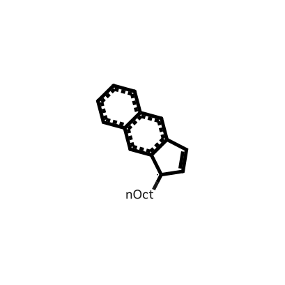 CCCCCCCC[C]1C=Cc2cc3ccccc3cc21